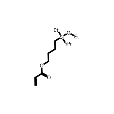 C=CC(=O)OCCCC[Si](CC)(CCC)OCC